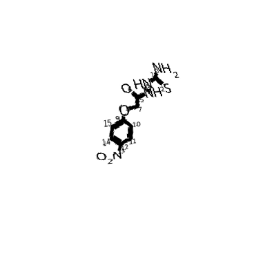 NC(=S)NNC(=O)COc1ccc([N+](=O)[O-])cc1